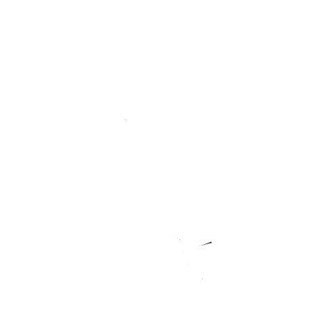 COc1ccc(S(=O)(=O)Nc2ccc(-c3ccc4c(c3)CN([C@H](C(=O)O)C(C)C)C4=O)cc2)cc1